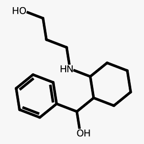 OCCCNC1CCCCC1C(O)c1ccccc1